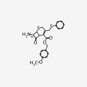 COc1ccc(COC(=O)C2=C(CSc3ccccc3)CSC3C2C(=O)[C@H]3N)cc1